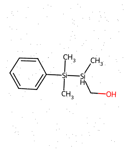 C[SiH](CO)[Si](C)(C)c1ccccc1